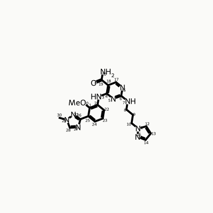 COc1c(Nc2nc(NCCCn3cccn3)ncc2C(N)=O)cccc1-c1ncn(C)n1